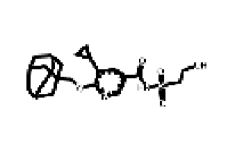 O=C(NS(=O)(=O)CCO)c1cnc(OCC23CC4CC(CC(C4)C2)C3)c(C2CC2)c1